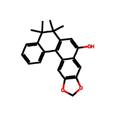 CC1(C)c2ccccc2-c2c(cc(O)c3cc4c(cc23)OCO4)C1(C)C